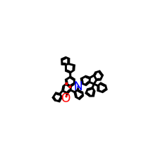 c1ccc(C2(c3ccccc3)c3ccccc3-c3ccc(N(c4cccc(-c5ccc6ccccc6c5)c4)c4ccccc4-c4cccc5c4oc4ccccc45)cc32)cc1